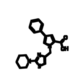 O=C(O)c1cc(-c2ccccc2)cn1Cc1csc(N2CCCCC2)n1